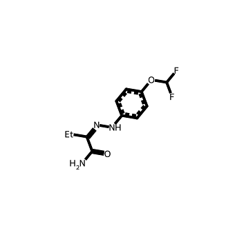 CCC(=NNc1ccc(OC(F)F)cc1)C(N)=O